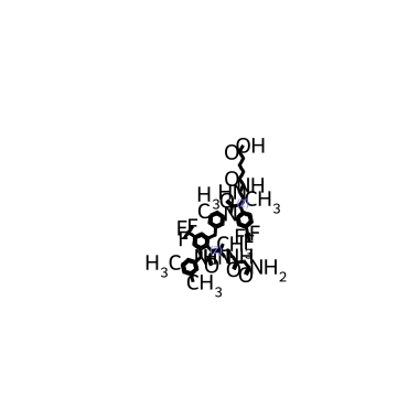 C/C(NNC(=O)CCCC(=O)O)=C1/C(=O)N(c2cc(C)cc(Cc3cc(C(F)(F)F)cc4c3/C(=C(\C)NNC(=O)CC(N)=O)C(=O)N4c3cc(C)cc(C)c3)c2)c2cc(C(F)(F)F)ccc21